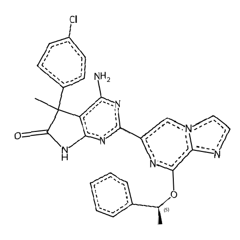 C[C@H](Oc1nc(-c2nc(N)c3c(n2)NC(=O)C3(C)c2ccc(Cl)cc2)cn2ccnc12)c1ccccc1